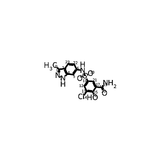 Cc1n[nH]c2cc(NS(=O)(=O)c3cc(Cl)c(O)c(C(N)=O)c3)ccc12